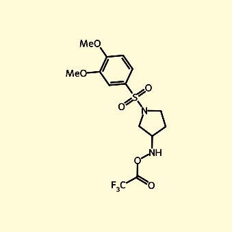 COc1ccc(S(=O)(=O)N2CCC(NOC(=O)C(F)(F)F)C2)cc1OC